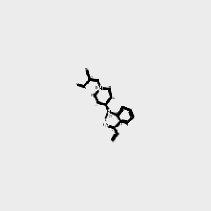 C=CC(=O)c1ccccc1N(C)C1CCN(CC(C)CC)CC1